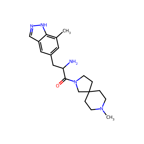 Cc1cc(CC(N)C(=O)N2CCC3(CCN(C)CC3)C2)cc2cn[nH]c12